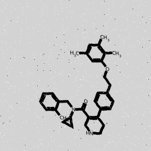 Cc1cc(C)c(C)c(OCCc2ccc(C3=C(C(=O)N(Cc4ccccc4C)C4CC4)CNCC3)cc2)c1